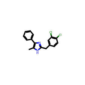 Cc1[nH]c(Cc2ccc(Cl)c(Cl)c2)nc1-c1ccccc1